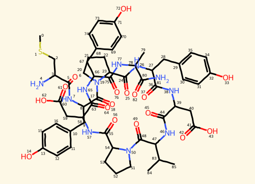 CSCC(N)C(=O)NC(Cc1ccc(O)cc1)C(=O)N1CCCC1C(=O)NC(Cc1ccc(O)cc1)C(=O)NC(CC(=O)O)C(=O)NC(C(=O)N1CCCC1C(=O)NC(CC(=O)O)C(=O)NC(Cc1ccc(O)cc1)C(=O)NC(C)C(N)=O)C(C)C